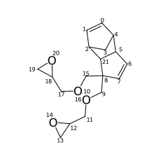 C1=CC2CC1C1C=CC(COCC3CO3)(COCC3CO3)C21